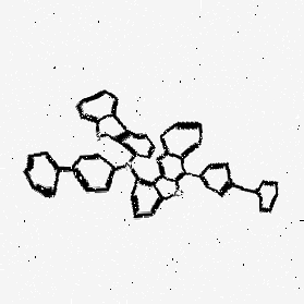 c1ccc(-c2ccc(-c3c4ccccc4cc4c3oc3cccc(N(c5ccc(-c6ccccc6)cc5)c5cccc6c5sc5ccccc56)c34)cc2)cc1